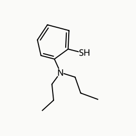 CCCN(CCC)c1ccccc1S